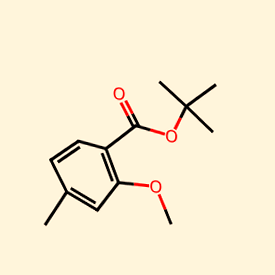 COc1cc(C)ccc1C(=O)OC(C)(C)C